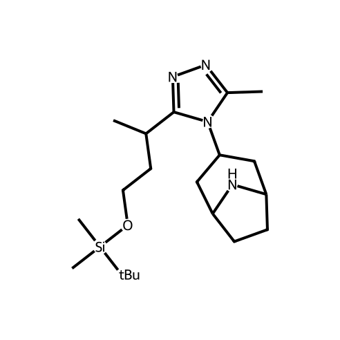 Cc1nnc(C(C)CCO[Si](C)(C)C(C)(C)C)n1C1CC2CCC(C1)N2